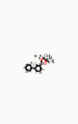 Cc1c(B2OC(C)(C)C(C)(C)O2)cccc1-c1ccccc1